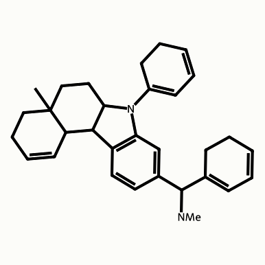 CNC(C1=CC=CCC1)c1ccc2c(c1)N(C1=CC=CCC1)C1CCC3(C)CCC=CC3C21